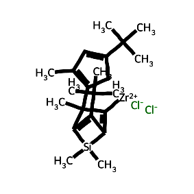 CC1=C(C2(C)[C]([Zr+2])=C3C(C(C)(C)C)=C2[Si]3(C)C)CC(C(C)(C)C)=C1.[Cl-].[Cl-]